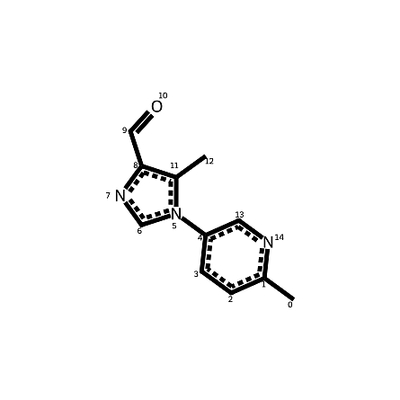 Cc1ccc(-n2cnc(C=O)c2C)cn1